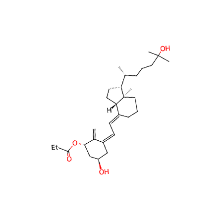 C=C1/C(=C\C=C2/CCC[C@]3(C)[C@@H]([C@H](C)CCCC(C)(C)O)CC[C@@H]23)C[C@@H](O)C[C@@H]1OC(=O)CC